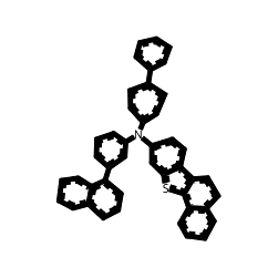 c1ccc(-c2ccc(N(c3cccc(-c4cccc5ccccc45)c3)c3ccc4c(c3)sc3c5ccccc5ccc43)cc2)cc1